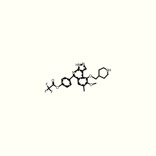 COc1c(C)cc2c(-c3ccc(OC(=O)C(F)(F)F)cc3)nc3[nH]ncc3c2c1OCC1CCNCC1